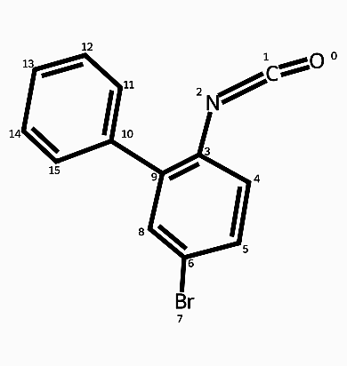 O=C=Nc1ccc(Br)cc1-c1ccccc1